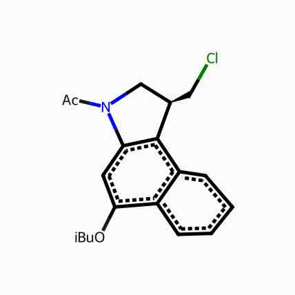 CC(=O)N1C[C@@H](CCl)c2c1cc(OCC(C)C)c1ccccc21